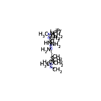 C=C/C=C\C(=C/C)CC(=C)N(C)C(=C)SC(=C)CCCC/C(N)=C/C=C(\N)NC(=O)C/C(C)=C/C(=C\C)C(C)N(I)C(=C)CC(C)C